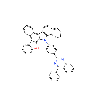 c1ccc(-c2nc(-c3ccc(-n4c5c6ccccc6ccc5c5c6ccccc6c6c7ccccc7oc6c54)cc3)nc3ccccc23)cc1